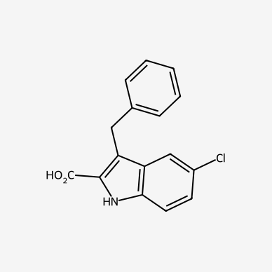 O=C(O)c1[nH]c2ccc(Cl)cc2c1Cc1ccccc1